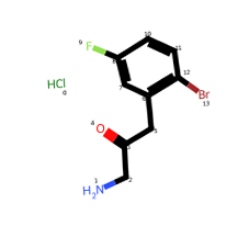 Cl.NCC(=O)Cc1cc(F)ccc1Br